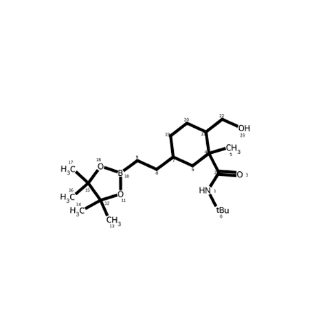 CC(C)(C)NC(=O)C1(C)CC(CCB2OC(C)(C)C(C)(C)O2)CCC1CO